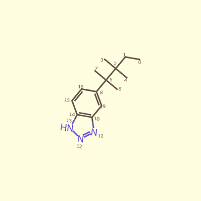 CCC(C)(C)C(C)(C)c1[c]c2nn[nH]c2cc1